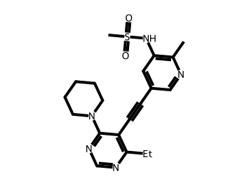 CCc1ncnc(N2CCCCC2)c1C#Cc1cnc(C)c(NS(C)(=O)=O)c1